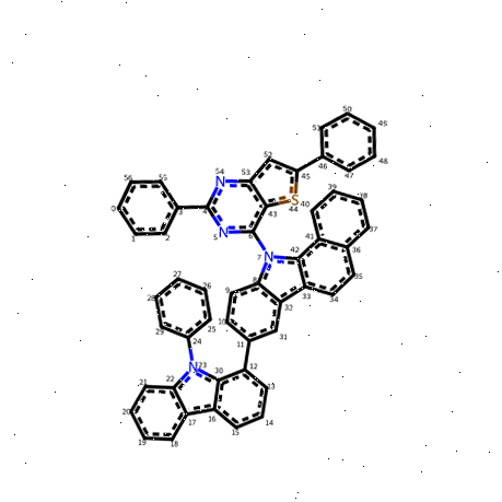 c1ccc(-c2nc(-n3c4ccc(-c5cccc6c7ccccc7n(-c7ccccc7)c56)cc4c4ccc5ccccc5c43)c3sc(-c4ccccc4)cc3n2)cc1